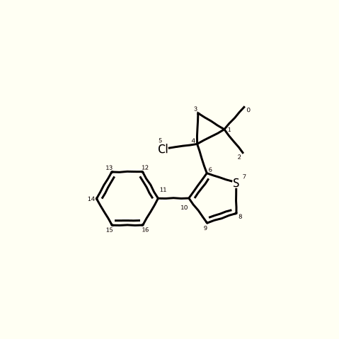 CC1(C)CC1(Cl)c1sccc1-c1ccccc1